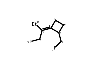 CC/C(CI)=C1\CCC1CI